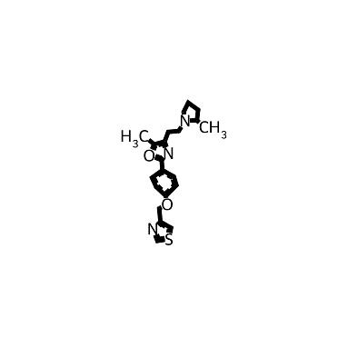 Cc1oc(-c2ccc(OCc3cscn3)cc2)nc1CCN1CCCC1C